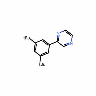 CC(C)(C)c1cc(-c2cnccn2)cc(C(C)(C)C)c1